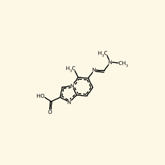 Cc1c(N=CN(C)C)ccc2nc(C(=O)O)cn12